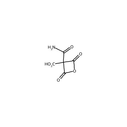 NC(=O)C1(C(=O)O)C(=O)OC1=O